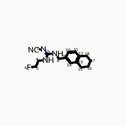 N#C/N=C(\NCCF)NCc1ccc2c(c1)CCCC2